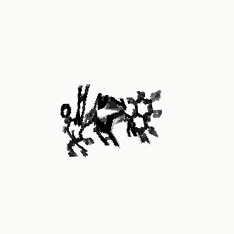 CC1(C)CC(=O)NC(c2nnc(-c3nccc4ccccc34)[nH]2)C1